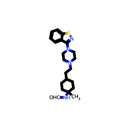 CC1(NC=O)CCC(CCN2CCN(c3nsc4ccccc34)CC2)CC1